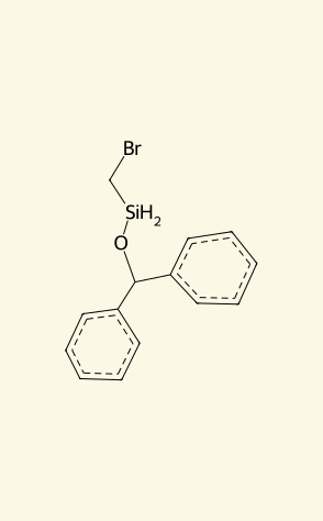 BrC[SiH2]OC(c1ccccc1)c1ccccc1